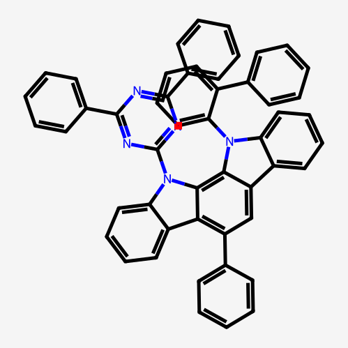 c1ccc(-c2nc(-c3ccccc3)nc(-n3c4ccccc4c4c(-c5ccccc5)cc5c6ccccc6n(-c6ccccc6-c6ccccc6)c5c43)n2)cc1